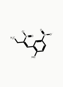 CCC(=Cc1cc([N+](=O)[O-])ccc1O)[N+](=O)[O-]